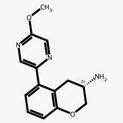 COc1cnc(-c2cccc3c2C[C@H](N)CO3)cn1